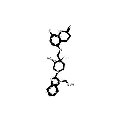 COCn1c(N2CC[C@@](O)(COc3ccc(F)c4c3CCC(=O)N4)[C@H](O)C2)nc2ccccc21